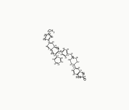 Cn1nnc(-c2ccc3nc(-c4ccccc4)c(-c4ccc(CN5CCC(c6ccc7c(c6)[N]C(=O)N7)CC5)cc4)nc3c2)n1